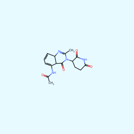 CC(=O)NC1=CC=CC2N=C(C)N(C3CCC(=O)NC3=O)C(=O)C12